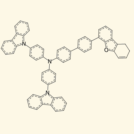 C1=Cc2oc3c(-c4ccc(-c5ccc(N(c6ccc(-n7c8ccccc8c8ccccc87)cc6)c6ccc(-n7c8ccccc8c8ccccc87)cc6)cc5)cc4)cccc3c2CC1